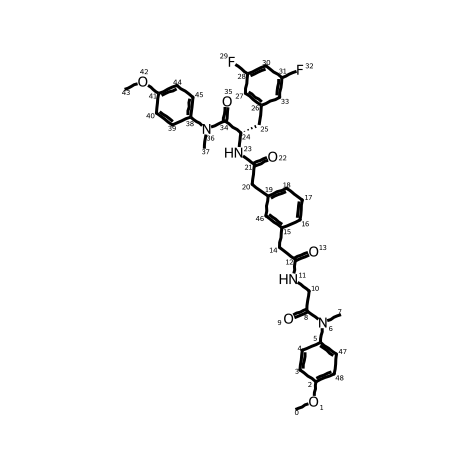 COc1ccc(N(C)C(=O)CNC(=O)Cc2cccc(CC(=O)N[C@@H](Cc3cc(F)cc(F)c3)C(=O)N(C)c3ccc(OC)cc3)c2)cc1